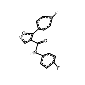 O=C(Nc1ccc(F)cc1)c1cnoc1-c1ccc(F)cc1